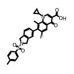 Cc1ccc(S(=O)(=O)N2Cc3ccc(-c4c(F)cc5c(=O)c(C(=O)O)cn(C6CC6)c5c4C)cc3C2)cc1